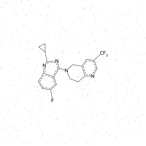 Fc1ccc2nc(C3CC3)nc(N3CCc4ncc(C(F)(F)F)cc4C3)c2c1